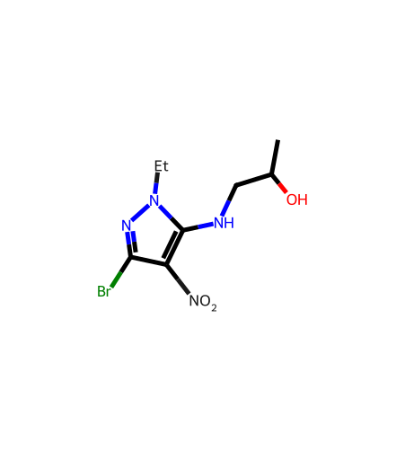 CCn1nc(Br)c([N+](=O)[O-])c1NCC(C)O